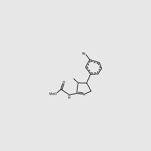 COC(=O)NC1=NCC(c2cccc(Br)c2)N1C